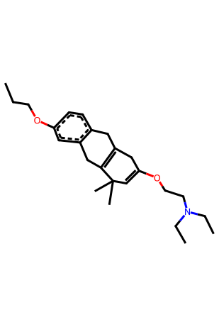 CCCOc1ccc2c(c1)CC1=C(CC(OCCN(CC)CC)=CC1(C)C)C2